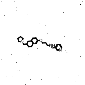 c1cncc(CNCCCOc2ccc3c(c2)CCC(CN2CCCC2)C3)c1